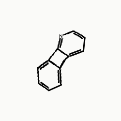 c1ccc2c(c1)-c1cccnc1-2